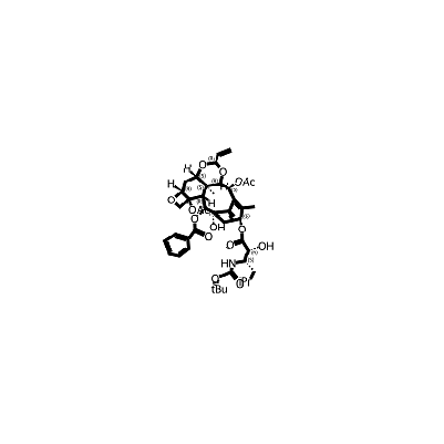 C=C[C@@H]1O[C@H]2C[C@H]3OC[C@@]3(OC(C)=O)[C@H]3[C@H](OC(=O)c4ccccc4)[C@]4(O)C[C@H](OC(=O)[C@H](O)[C@H](CC(C)C)NC(=O)OC(C)(C)C)C(C)=C([C@H](OC(C)=O)[C@H](O1)[C@]23C)C4(C)C